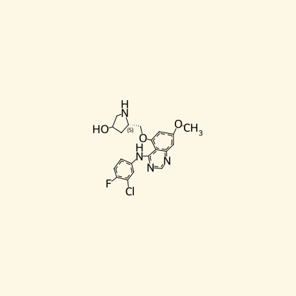 COc1cc(OC[C@@H]2CC(O)CN2)c2c(Nc3ccc(F)c(Cl)c3)ncnc2c1